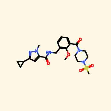 COc1c(CNC(=O)c2cc(C3CC3)nn2C)cccc1C(=O)N1CCN(S(C)(=O)=O)CC1